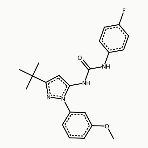 COc1cccc(-n2nc(C(C)(C)C)cc2NC(=O)Nc2ccc(F)cc2)c1